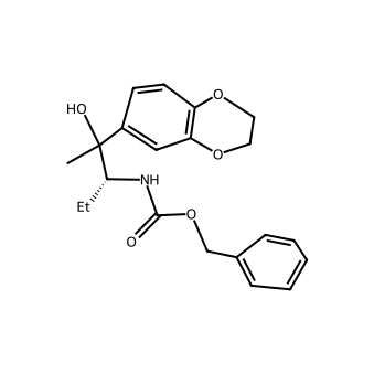 CC[C@@H](NC(=O)OCc1ccccc1)C(C)(O)c1ccc2c(c1)OCCO2